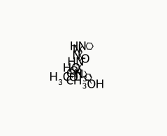 CC(C)(C)OC(=O)N1Cc2cc(O)ccc2C[C@H]1[C@H](O)CNC(=O)c1cc(NC2CCCCC2)ncn1